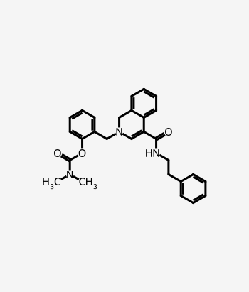 CN(C)C(=O)Oc1ccccc1CN1C=C(C(=O)NCCc2ccccc2)c2ccccc2C1